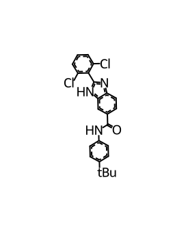 CC(C)(C)c1ccc(NC(=O)c2ccc3nc(-c4c(Cl)cccc4Cl)[nH]c3c2)cc1